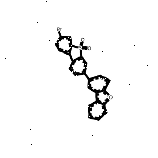 O=S1(=O)c2cc(Br)ccc2-c2ccc(-c3ccc4oc5ccccc5c4c3)cc21